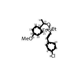 CC[Si](C=Cc1ccc(Cl)cc1)(CC)OC(C)c1ccc(OC)cc1